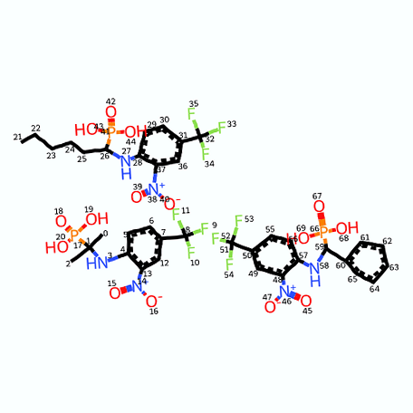 CC(C)(Nc1ccc(C(F)(F)F)cc1[N+](=O)[O-])P(=O)(O)O.CCCCCC(Nc1ccc(C(F)(F)F)cc1[N+](=O)[O-])P(=O)(O)O.O=[N+]([O-])c1cc(C(F)(F)F)ccc1NC(c1ccccc1)P(=O)(O)O